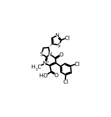 C[n+]1c(C(=O)O)c(-c2cc(Cl)cc(Cl)c2)c(=O)n2c1SC[C@@H]2c1cnc(Cl)s1